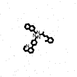 C=c1cccc/c1=C/C=C(\C)c1nc(-c2ccc3ccccc3c2)nc(C2C=CC(c3cccc4cccnc34)=CC2)n1